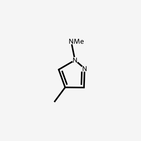 CNn1cc(C)cn1